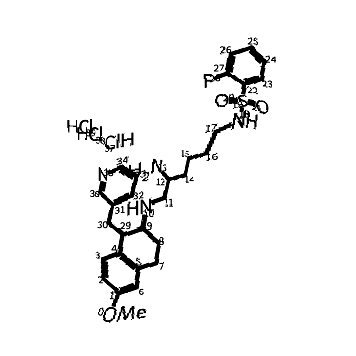 COc1ccc2c(c1)CCC(NCC(N)CCCCNS(=O)(=O)c1ccccc1F)C2Cc1cccnc1.Cl.Cl.Cl